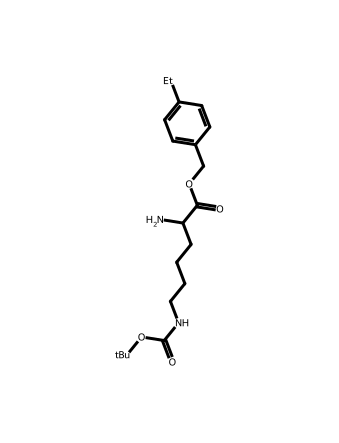 CCc1ccc(COC(=O)C(N)CCCCNC(=O)OC(C)(C)C)cc1